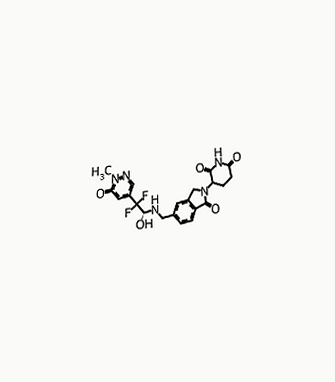 Cn1ncc(C(F)(F)[C@@H](O)NCc2ccc3c(c2)CN(C2CCC(=O)NC2=O)C3=O)cc1=O